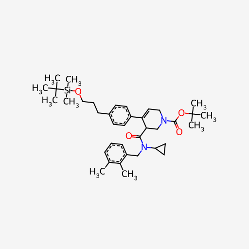 Cc1cccc(CN(C(=O)C2CN(C(=O)OC(C)(C)C)CC=C2c2ccc(CCCO[Si](C)(C)C(C)(C)C)cc2)C2CC2)c1C